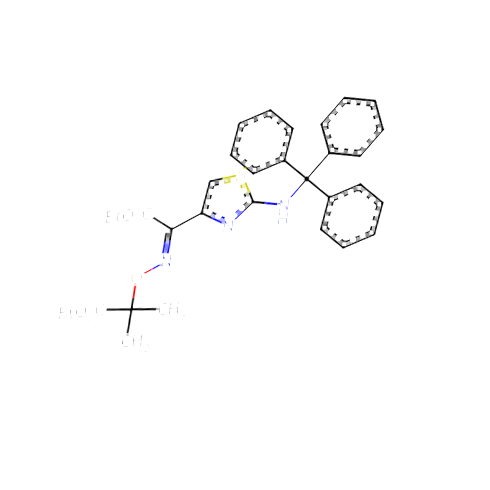 CCOC(=O)C(=NOC(C)(C)C(=O)OCC)c1csc(NC(c2ccccc2)(c2ccccc2)c2ccccc2)n1